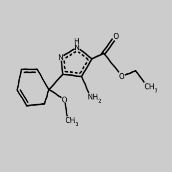 CCOC(=O)c1[nH]nc(C2(OC)C=CC=CC2)c1N